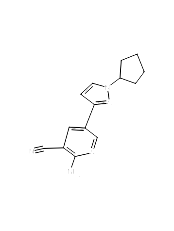 N#Cc1cc(-c2ccn(C3CCCC3)n2)cnc1N